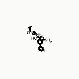 Nc1ncc(C(O)NC2CN(C(=O)C3CC3)C2)c2ccc(-c3cccc(F)c3)cc12